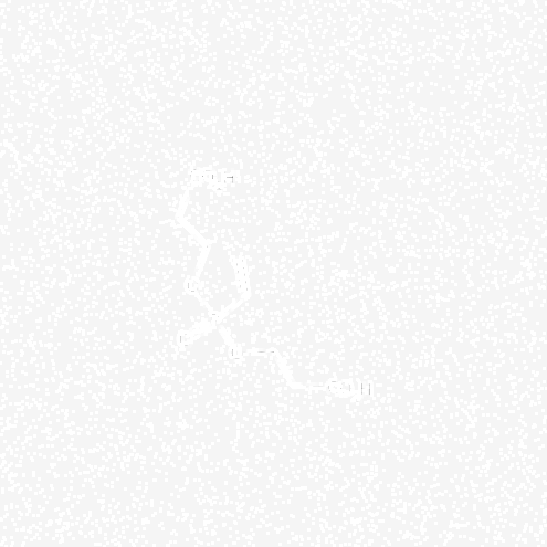 C=CP(=O)(OCCC(=O)O)OCCC(=O)O